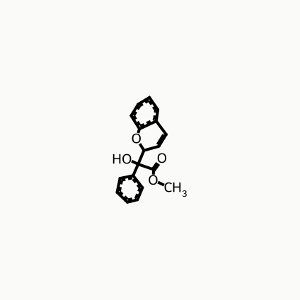 COC(=O)C(O)(c1ccccc1)C1C=Cc2ccccc2O1